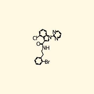 O=C(NCCc1ccccc1Br)c1cn(-c2ncccn2)c2cccc(Cl)c12